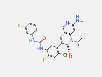 CNc1cc2c(cn1)C=C(c1cc(NC(=O)Nc3cccc(F)c3)c(F)cc1Cl)C(=C=O)N2C(C)C